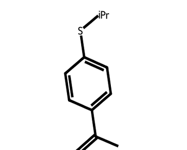 C=C(C)c1ccc(SC(C)C)cc1